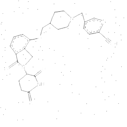 C#Cc1ccc(CN2CCC(COc3cccc4c3CN(C3CCC(=O)NC3=O)C4=O)CC2)cn1